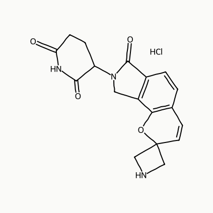 Cl.O=C1CCC(N2Cc3c(ccc4c3OC3(C=C4)CNC3)C2=O)C(=O)N1